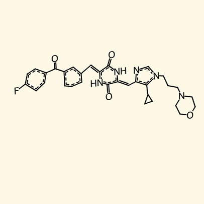 O=C(c1ccc(F)cc1)c1cccc(/C=c2\[nH]c(=O)/c(=C/c3ncn(CCCN4CCOCC4)c3C3CC3)[nH]c2=O)c1